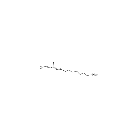 CCCCCCCCCCCCCCCCO/C=C(C)/C=C/Cl